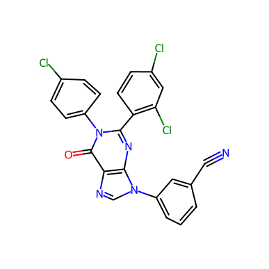 N#Cc1cccc(-n2cnc3c(=O)n(-c4ccc(Cl)cc4)c(-c4ccc(Cl)cc4Cl)nc32)c1